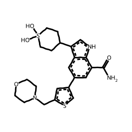 NC(=O)c1cc(-c2csc(CN3CCOCC3)c2)cc2c(C3CCS(O)(O)CC3)c[nH]c12